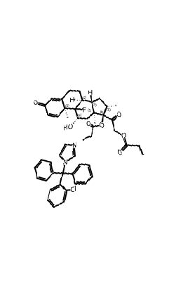 CCC(=O)OCC(=O)[C@@]1(OC(=O)CC)[C@@H](C)C[C@H]2[C@@H]3CCC4=CC(=O)C=C[C@]4(C)C3(F)[C@@H](O)C[C@@]21C.Clc1ccccc1C(c1ccccc1)(c1ccccc1)n1ccnc1